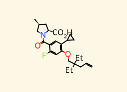 C=CCC(CC)(CC)COc1cc(F)c(C(=O)N2C[C@@H](C)C[C@H]2C(=O)O)cc1C1CC1